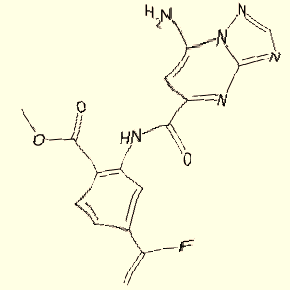 C=C(F)c1ccc(C(=O)OC)c(NC(=O)c2cc(N)n3ncnc3n2)c1